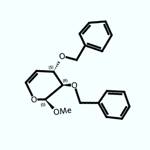 CO[C@H]1OC=C[C@H](OCc2ccccc2)[C@H]1OCc1ccccc1